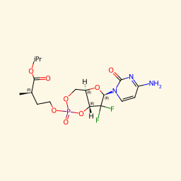 CC(C)OC(=O)[C@H](C)CCOP1(=O)OC[C@H]2O[C@@H](n3ccc(N)nc3=O)C(F)(F)[C@@H]2O1